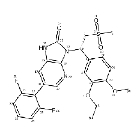 CCOc1cc([C@@H](CS(C)(=O)=O)n2c(=O)[nH]c3cc(-c4c(F)cccc4F)cnc32)ccc1OC